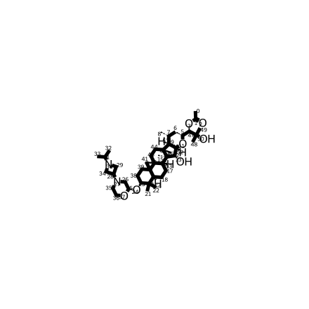 CC(=O)O[C@@H]([C@H]1C[C@@H](C)[C@H]2[C@H](O1)[C@H](O)[C@@]1(C)[C@@H]3CC[C@H]4C(C)(C)[C@@H](O[C@H]5CN(C6CN(C(C)C)C6)CCO5)CCC45C[C@@]35CC[C@]21C)C(C)(C)O